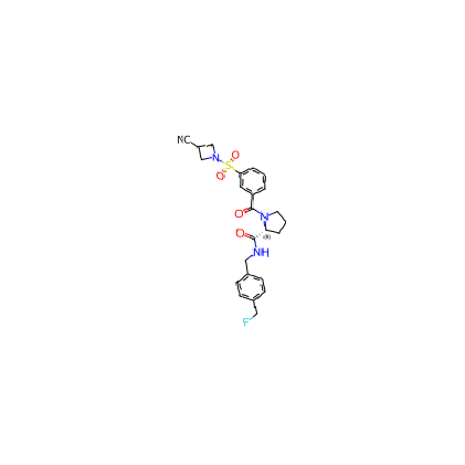 N#CC1CN(S(=O)(=O)c2cccc(C(=O)N3CCC[C@@H]3C(=O)NCc3ccc(CF)cc3)c2)C1